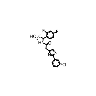 O=C(Cc1csc(-c2cccc(Cl)c2)n1)NC(C(=O)O)c1ccc(F)cc1F